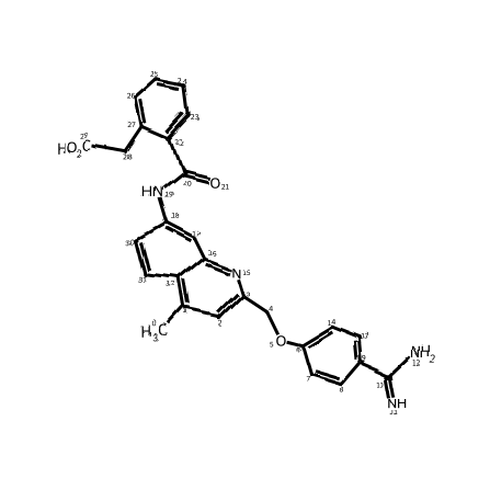 Cc1cc(COc2ccc(C(=N)N)cc2)nc2cc(NC(=O)c3ccccc3CC(=O)O)ccc12